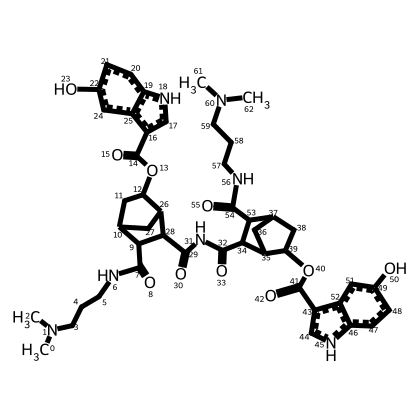 CN(C)CCCNC(=O)C1C2CC(OC(=O)c3c[nH]c4ccc(O)cc34)C(C2)C1C(=O)NC(=O)C1C2CC(CC2OC(=O)c2c[nH]c3ccc(O)cc23)C1C(=O)NCCCN(C)C